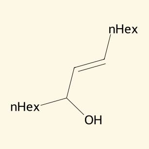 [CH2]CCCCCC(O)/C=C/CCCCCC